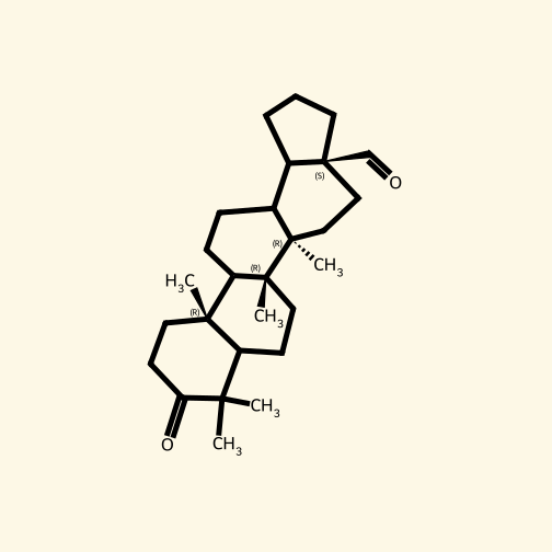 CC1(C)C(=O)CC[C@@]2(C)C1CC[C@]1(C)C2CCC2C3CCC[C@]3(C=O)CC[C@]21C